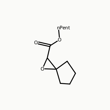 CCCCCOC(=O)C1OC12CCCC2